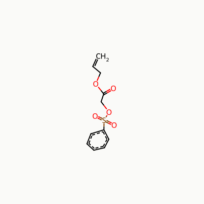 C=CCOC(=O)COS(=O)(=O)c1ccccc1